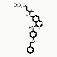 CCOC(=O)C=CC(=O)Nc1ccc2ncnc(Nc3ccc(OCc4ccccc4)cc3)c2c1